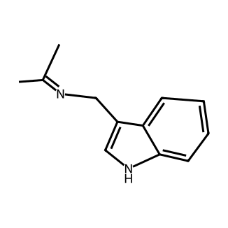 CC(C)=NCc1c[nH]c2ccccc12